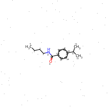 CCCCNC(=O)c1ccc(C(C)C)cc1